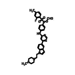 Cc1ccc(S(=O)(=O)N(OC=O)c2ccc(Nc3cc(-c4ccc5c(ccn5CCN5CCN(C)CC5)c4)ncn3)cc2)c(F)c1